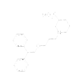 O=C(O)C1CCCN(CCCOCC(c2ccccc2)c2ccccc2)C1